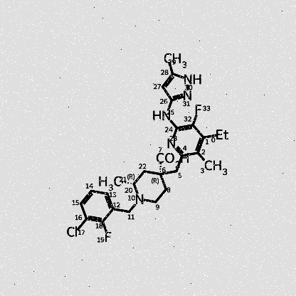 CCc1c(C)c(C[C@@]2(C(=O)O)CCN(Cc3cccc(Cl)c3F)[C@H](C)C2)nc(Nc2cc(C)[nH]n2)c1F